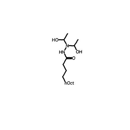 CCCCCCCCCCCC(=O)NN(C(C)O)C(C)O